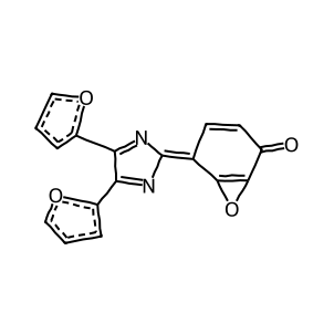 O=C1C=CC(=C2N=C(c3ccco3)C(c3ccco3)=N2)C2=C1O2